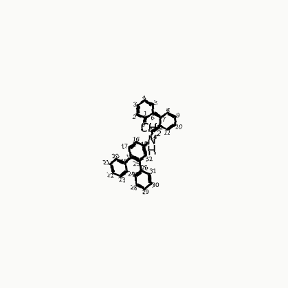 C=c1cccc/c1=c1\cccc\c1=C/Nc1ccc(-c2ccccc2)c(-c2ccccc2)c1